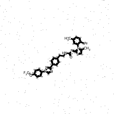 Cc1ccc(C(C)C)c(-n2c(C)csc2=NC(=O)NCCc2ccc(-c3ncn(-c4ccc(OC(F)(F)F)cc4)n3)cc2)c1